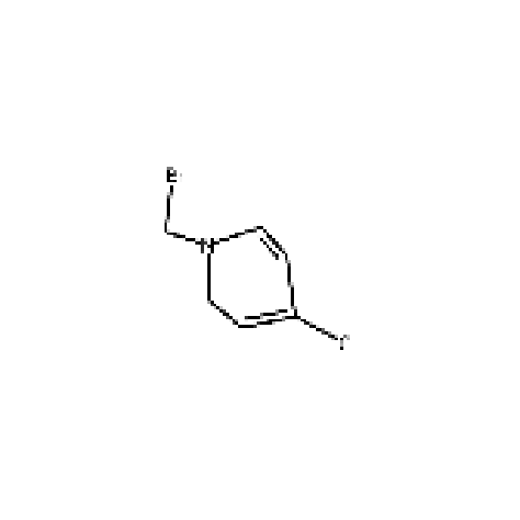 ClC1=CCN(CBr)C=C1